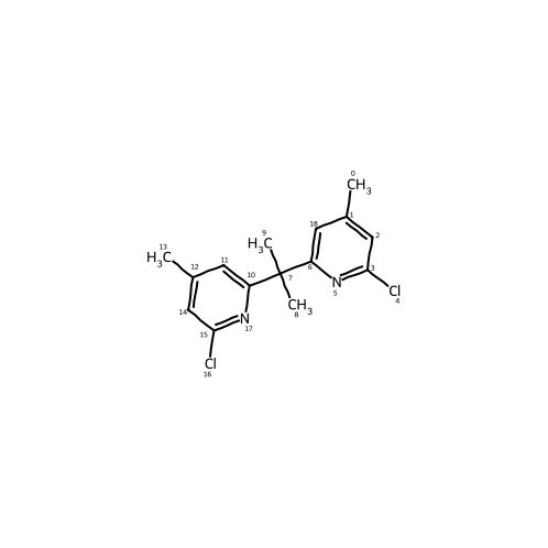 Cc1cc(Cl)nc(C(C)(C)c2cc(C)cc(Cl)n2)c1